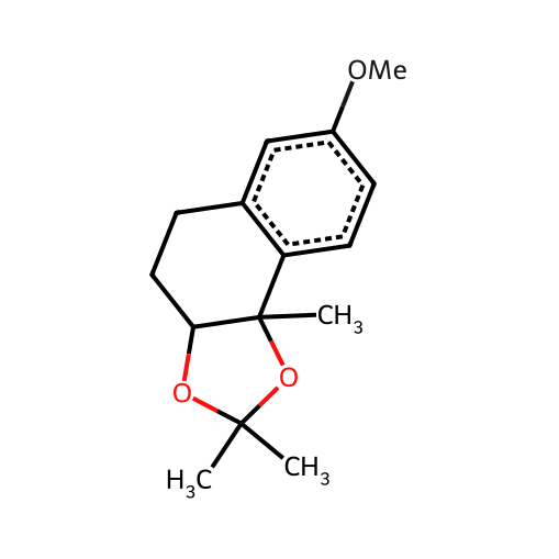 COc1ccc2c(c1)CCC1OC(C)(C)OC21C